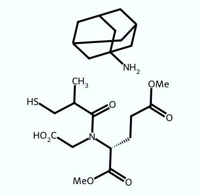 COC(=O)CC[C@H](C(=O)OC)N(CC(=O)O)C(=O)C(C)CS.NC12CC3CC(CC(C3)C1)C2